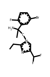 CCc1nc(C(F)F)cn1CC(C)(N)c1cc(Br)ccc1F